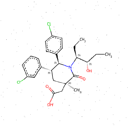 CC[C@H](O)[C@H](CC)N1C(=O)[C@@](C)(CC(=O)O)C[C@H](c2cccc(Cl)c2)[C@H]1c1ccc(Cl)cc1